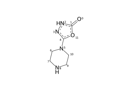 O=c1[nH]nc(N2CCNCC2)o1